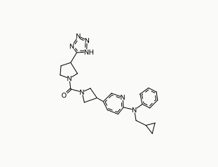 O=C(N1CC(c2ccc(N(CC3CC3)c3ccccc3)nc2)C1)N1CCC(c2nnn[nH]2)C1